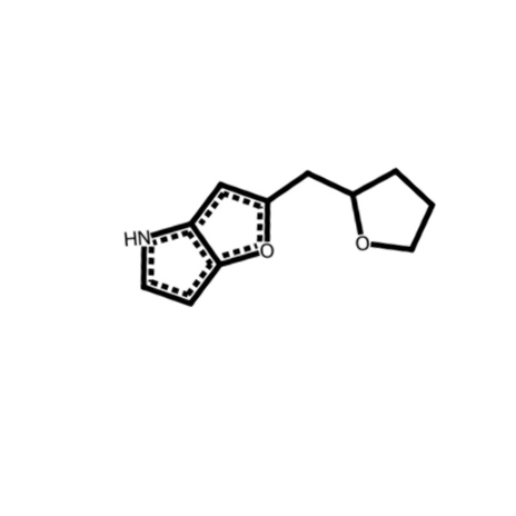 c1cc2oc(CC3CCCO3)cc2[nH]1